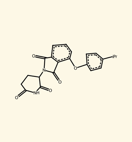 CC(C)c1ccc(Oc2cccc3c2C(=O)N(C2CCC(=O)NC2=O)C3=O)cc1